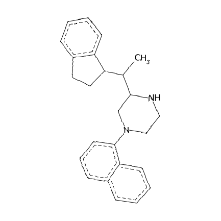 CC(C1CN(c2cccc3ccccc23)CCN1)C1CCc2ccccc21